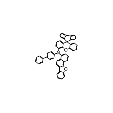 c1ccc(-c2ccc(N(c3cccc4c3Oc3ccccc3C43c4ccccc4-c4ccccc43)c3cccc4c3ccc3c5ccccc5oc43)cc2)cc1